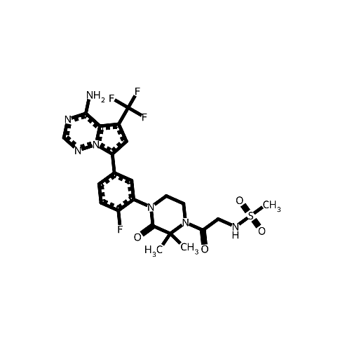 CC1(C)C(=O)N(c2cc(-c3cc(C(F)(F)F)c4c(N)ncnn34)ccc2F)CCN1C(=O)CNS(C)(=O)=O